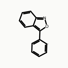 [c]1ccccc1-c1onc2ccccc12